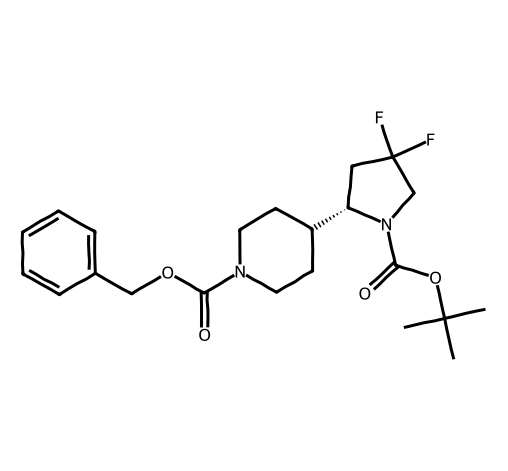 CC(C)(C)OC(=O)N1CC(F)(F)C[C@H]1C1CCN(C(=O)OCc2ccccc2)CC1